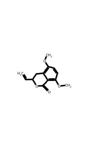 C=CC1Cc2c(OC)ccc(OC)c2C(=O)O1